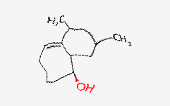 CC1CC(C)C2=CCC[C@H](O)C2C1